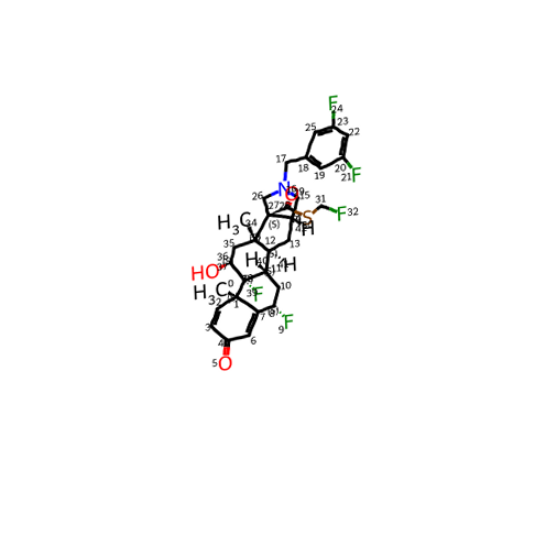 C[C@]12C=CC(=O)C=C1[C@@H](F)C[C@H]1[C@@H]3C[C@H]4CN(Cc5cc(F)cc(F)c5)C[C@@]4(C(=O)SCF)[C@@]3(C)C[C@H](O)[C@@]12F